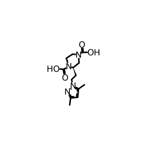 Cc1cc(C)n(CC[C@@H]2CN(C(=O)O)CCN2C(=O)O)n1